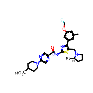 CC[C@@H]1CCCN1Cc1sc(NC(=O)c2cnc(N3CCC(C(=O)O)CC3)cn2)nc1-c1cc(C)cc(OCF)c1